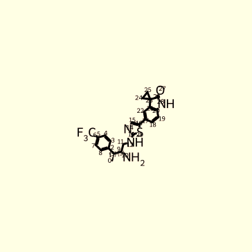 C[C@@H](c1ccc(C(F)(F)F)cc1)[C@H](N)CNc1ncc(-c2ccc3c(c2)C2(CC2)C(=O)N3)s1